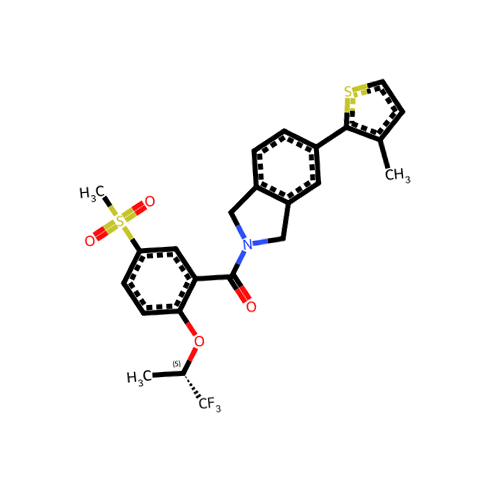 Cc1ccsc1-c1ccc2c(c1)CN(C(=O)c1cc(S(C)(=O)=O)ccc1O[C@@H](C)C(F)(F)F)C2